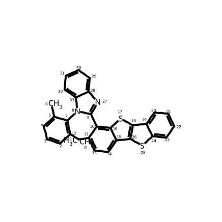 Cc1cccc(C)c1-n1c(-c2c(C)ccc3c2sc2c4ccccc4sc32)nc2ccccc21